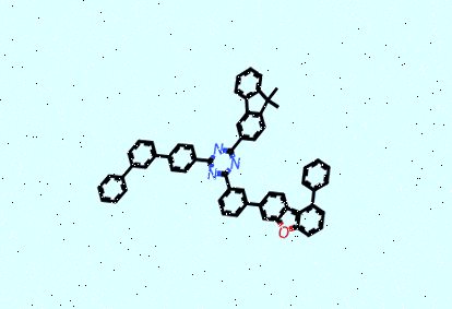 CC1(C)c2ccccc2-c2cc(-c3nc(-c4ccc(-c5cccc(-c6ccccc6)c5)cc4)nc(-c4cccc(-c5ccc6c(c5)oc5cccc(-c7ccccc7)c56)c4)n3)ccc21